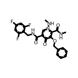 CNC(=O)c1c(OCc2ccccc2)c(=O)c(C(=O)NCc2c(F)cc(F)cc2F)cn1NC